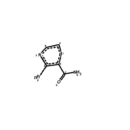 CCCc1ncccc1C(N)=O